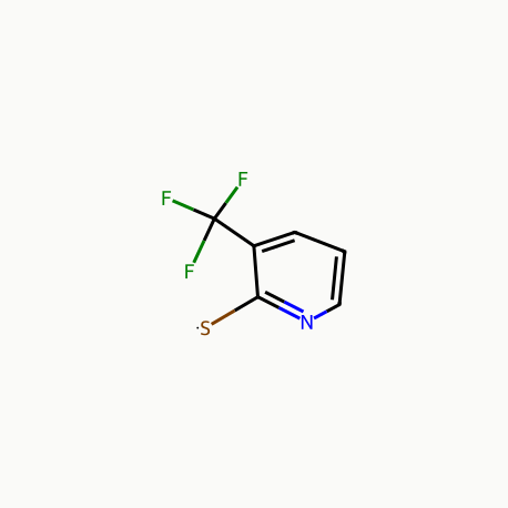 FC(F)(F)c1cccnc1[S]